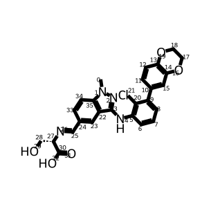 Cn1nc(Nc2cccc(-c3ccc4c(c3)OCCO4)c2Cl)c2cc(C=N[C@@H](CO)C(=O)O)ccc21